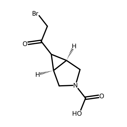 O=C(CBr)C1[C@H]2CN(C(=O)O)C[C@@H]12